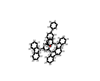 c1ccc(-c2ccc(-c3nc(-n4c5ccccc5c5ccccc54)nc(-n4c5ccccc5c5ccc6c7ccccc7n(-c7ccccc7)c6c54)n3)cc2)cc1